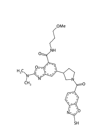 COCCCNC(=O)c1cc(C2CCN(C(=O)c3ccc4nc(S)oc4c3)C2)cc2nc(N(C)C)oc12